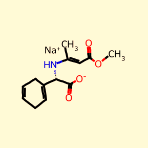 COC(=O)C=C(C)N[C@H](C(=O)[O-])C1=CCC=CC1.[Na+]